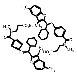 CCOC(=O)CCN(C)C(=O)c1ccc(NC(c2oc3ccc(C)cc3c2C)C2CCCCC2)cc1.Cc1ccc2oc(C(Nc3ccc(C(=O)N(C)CCC(=O)O)cc3)C3CCCCC3)c(C)c2c1